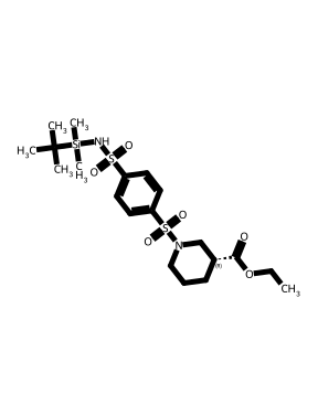 CCOC(=O)[C@@H]1CCCN(S(=O)(=O)c2ccc(S(=O)(=O)N[Si](C)(C)C(C)(C)C)cc2)C1